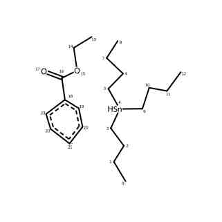 CCC[CH2][SnH]([CH2]CCC)[CH2]CCC.CCOC(=O)c1cc[c]cc1